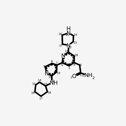 NC(=O)Cc1cc(-c2ccnc(NC3CCCCC3)c2)nc(N2CCNCC2)c1